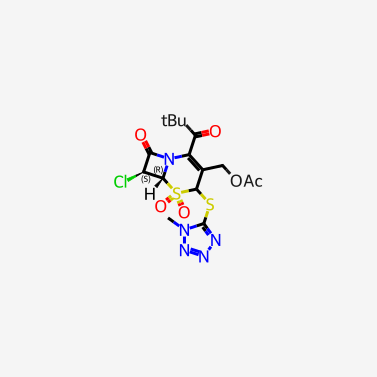 CC(=O)OCC1=C(C(=O)C(C)(C)C)N2C(=O)[C@H](Cl)[C@H]2S(=O)(=O)C1Sc1nnnn1C